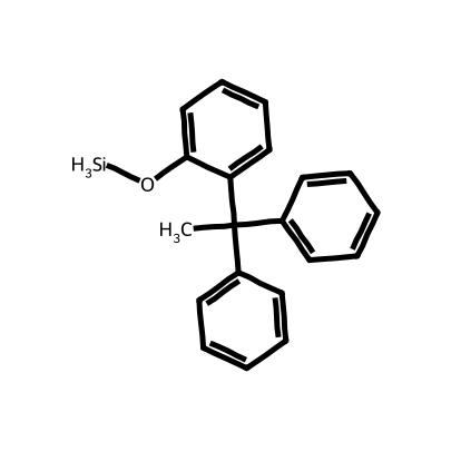 CC(c1ccccc1)(c1ccccc1)c1ccccc1O[SiH3]